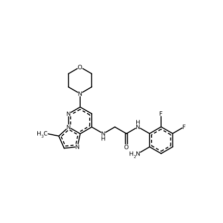 Cc1cnc2c(NCC(=O)Nc3c(N)ccc(F)c3F)cc(N3CCOCC3)nn12